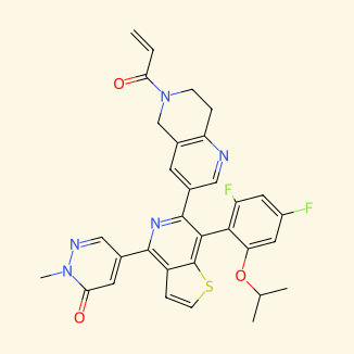 C=CC(=O)N1CCc2ncc(-c3nc(-c4cnn(C)c(=O)c4)c4ccsc4c3-c3c(F)cc(F)cc3OC(C)C)cc2C1